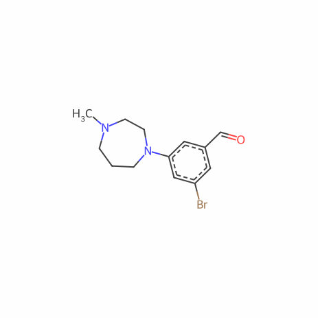 CN1CCCN(c2cc(Br)cc(C=O)c2)CC1